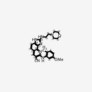 COc1ccc(C)c(Nc2nc3c(ccc4[nH]c(NCCN5CCOCC5)nc43)cc2C#N)c1